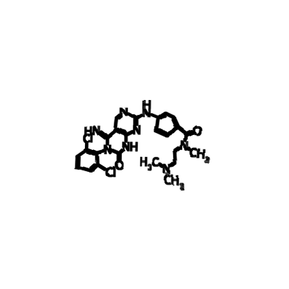 CN(C)CCN(C)C(=O)c1ccc(Nc2ncc3c(=N)n(-c4c(Cl)cccc4Cl)c(=O)[nH]c3n2)cc1